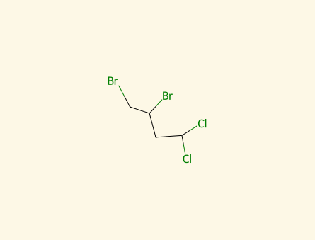 ClC(Cl)CC(Br)CBr